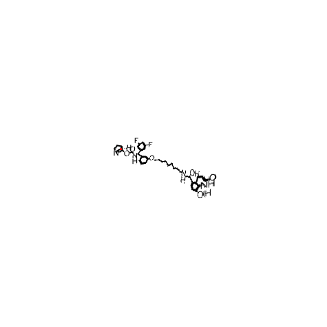 O=C(NC(c1cc(F)cc(F)c1)c1cccc(OCCCCCCCCCNC[C@@H](O)c2ccc(O)c3[nH]c(=O)ccc23)c1)O[C@H]1CN2CCC1CC2